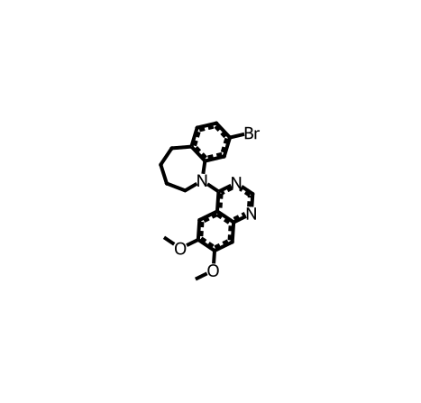 COc1cc2ncnc(N3CCCCc4ccc(Br)cc43)c2cc1OC